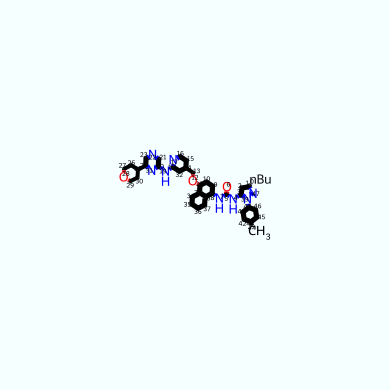 CCCCc1cc(NC(=O)Nc2ccc(OCc3ccnc(Nc4cncc(C5CCOCC5)n4)c3)c3ccccc23)n(-c2ccc(C)cc2)n1